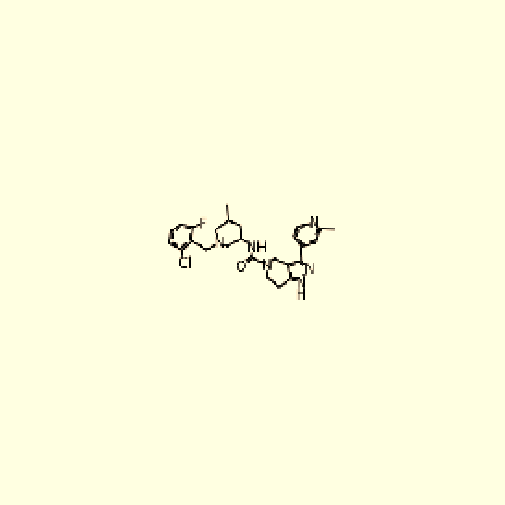 Cc1cc(-c2n[nH]c3c2CN(C(=O)NC2CC(C)CN(Cc4c(F)cccc4Cl)C2)CC3)ccn1